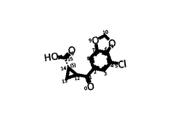 O=C(c1cc(Cl)c2c(c1)OCO2)C1C[C@@H]1C(=O)O